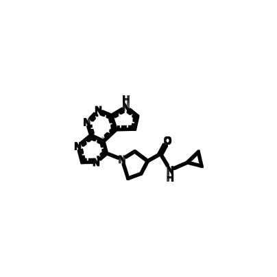 O=C(NC1CC1)C1CCN(c2ncnc3nnc4[nH]ccc4c23)C1